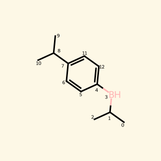 CC(C)Bc1ccc(C(C)C)cc1